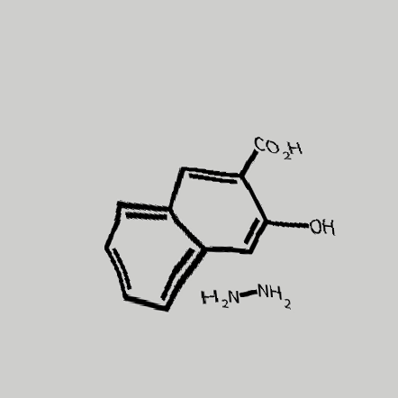 NN.O=C(O)c1cc2ccccc2cc1O